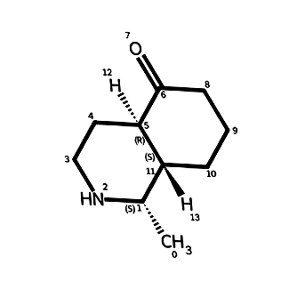 C[C@@H]1NCC[C@H]2C(=O)CCC[C@H]12